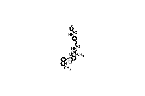 Cc1ccc2cccc(OCc3c(Cl)ccc(N(C)C(=O)CNC(=O)C=Cc4ccc(NC(=O)c5ccsc5)cc4)c3Cl)c2n1